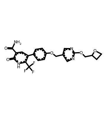 NC(=O)c1cc(-c2ccc(OCc3cnc(OCC4CCO4)nc3)cc2)c(C(F)(F)F)[nH]c1=O